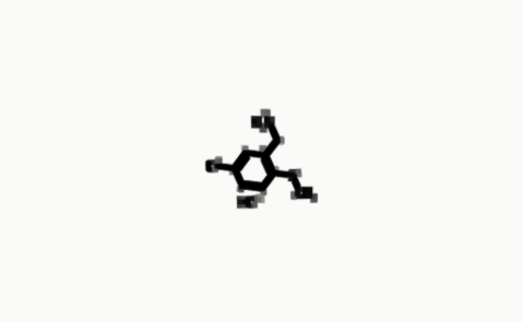 CSc1ccc(Cl)cc1CN.Cl